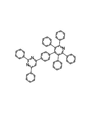 c1ccc(-c2cc(-c3ccc(-c4c(-c5ccccc5)c(-c5ccccc5)nc(-c5ccccc5)c4-c4ccccc4)cc3)nc(-c3ccccc3)n2)cc1